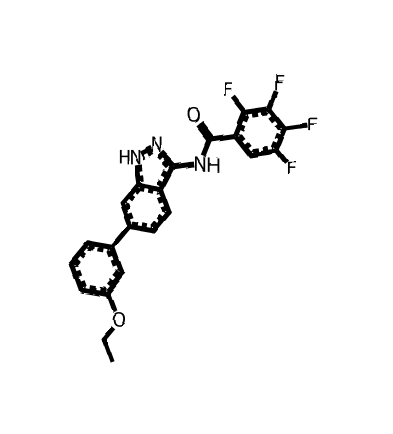 CCOc1cccc(-c2ccc3c(NC(=O)c4cc(F)c(F)c(F)c4F)n[nH]c3c2)c1